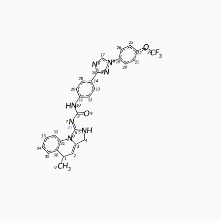 CC1C=C2CN/C(=N\C(=O)Nc3ccc(-c4ncn(-c5ccc(OC(F)(F)F)cc5)n4)cc3)N2c2ccccc21